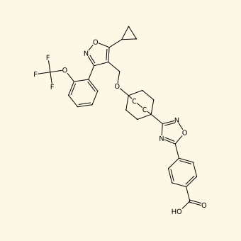 O=C(O)c1ccc(-c2nc(C34CCC(OCc5c(-c6ccccc6OC(F)(F)F)noc5C5CC5)(CC3)CC4)no2)cc1